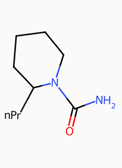 CCCC1CCCCN1C(N)=O